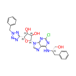 OC[C@H](Cc1ccccc1)Nc1nc(Cl)nc2c1ncn2[C@@H]1O[C@H](c2nnn(Cc3ccccc3)n2)[C@@H](O)[C@H]1O